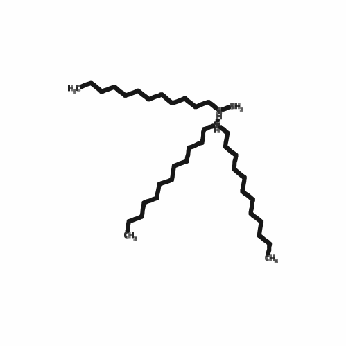 CCCCCCCCCCCC[SiH]([SiH3])[SiH](CCCCCCCCCCCC)CCCCCCCCCCCC